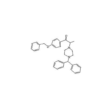 CC(C(=O)c1ccc(OCc2ccccc2)cc1)N1CCN(C(c2ccccc2)c2ccccc2)CC1